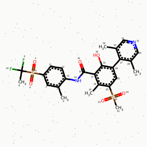 Cc1cc(S(=O)(=O)C(C)(F)F)ccc1NC(=O)c1c(C)c(S(C)(=O)=O)cc(-c2c(C)cncc2C)c1O